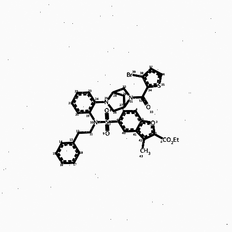 CCOC(=O)c1oc2ccc(S(=O)(=O)N(CCc3ccccc3)c3ccccc3N3CC4CC3CN4C(=O)c3sccc3Br)cc2c1C